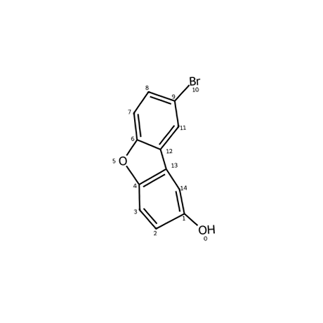 Oc1ccc2oc3ccc(Br)cc3c2c1